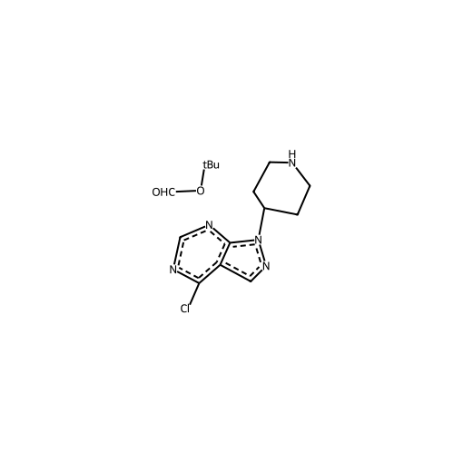 CC(C)(C)OC=O.Clc1ncnc2c1cnn2C1CCNCC1